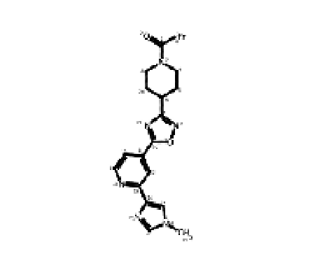 CC(C)C(=O)N1CCC(c2noc(-c3ccnc(-c4cn(C)cn4)c3)n2)CC1